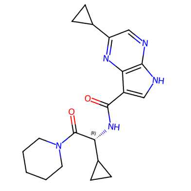 O=C(N[C@@H](C(=O)N1CCCCC1)C1CC1)c1c[nH]c2ncc(C3CC3)nc12